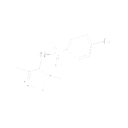 Cc1noc(C)c1NS(=O)(=O)c1ccc(Br)cc1